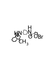 Cc1cc(N[C@H]2CC[C@@H](NC(=O)c3ccc(Br)o3)CC2)nc2ccccc12